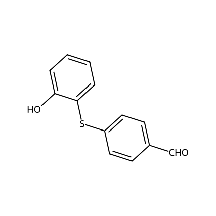 O=Cc1ccc(Sc2ccccc2O)cc1